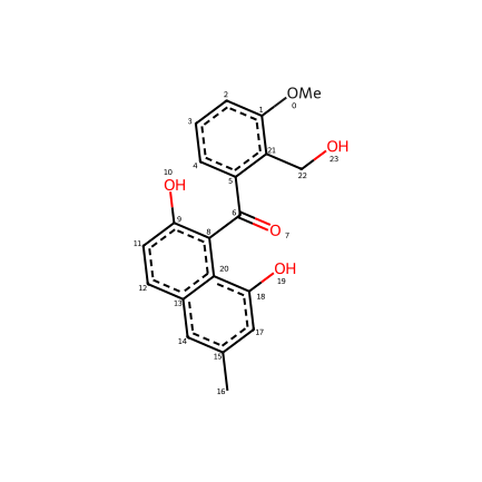 COc1cccc(C(=O)c2c(O)ccc3cc(C)cc(O)c23)c1CO